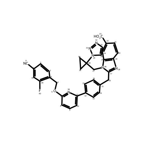 N#Cc1ccc(COc2cccc(-c3ccc(Cc4nc5ccc(C(=O)O)cc5n4CC4(n5ccnn5)CC4)cc3)n2)c(F)c1